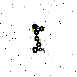 Cc1ccccc1-c1ccc2sc3cc(-c4cc(-c5ccccc5C)c5c(c4)sc4ccccc45)ccc3c2c1